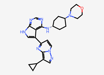 c1nc(N[C@H]2CC[C@H](N3CCOCC3)CC2)c2c(-c3ccn4ncc(C5CC5)c4n3)c[nH]c2n1